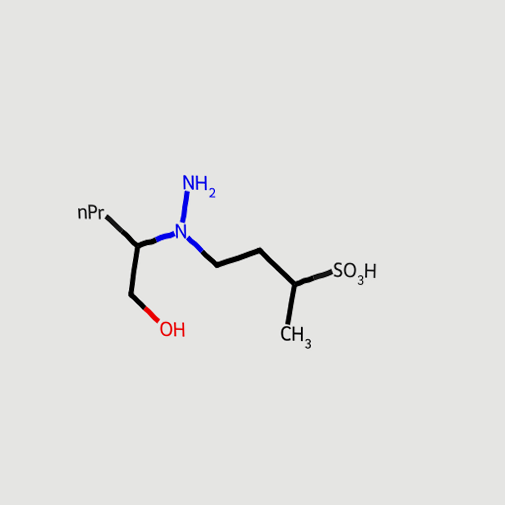 CCCC(CO)N(N)CCC(C)S(=O)(=O)O